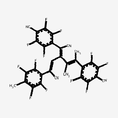 CC(=C(C)c1c(F)c(F)c(C#N)c(F)c1F)C(/C=C(\C#N)c1c(F)c(F)c(C)c(F)c1F)=C(\C#N)c1c(F)c(F)c(C#N)c(F)c1F